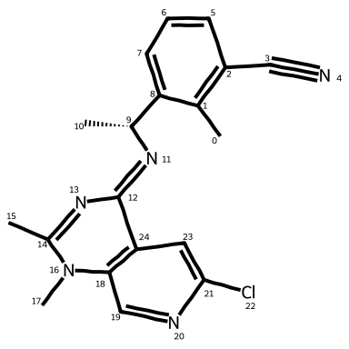 Cc1c(C#N)cccc1[C@@H](C)/N=c1\nc(C)n(C)c2cnc(Cl)cc12